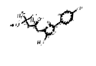 Cc1sc(-c2ccc(Cl)cc2)nc1CC(=O)CC(C)(C)C(=O)O